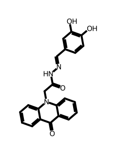 O=C(Cn1c2ccccc2c(=O)c2ccccc21)N/N=C/c1ccc(O)c(O)c1